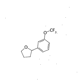 FC(F)(F)Oc1cccc([C]2CCCO2)c1